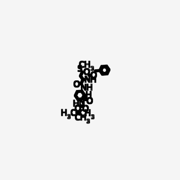 CSCCC(NC(=O)OCc1ccccc1)C(=O)N[C@H]1CC[C@@H]2C[C@H]1C(=O)N2C(=O)OC(C)(C)C